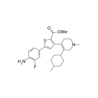 COC(=O)c1sc(-c2ccc(N)c(F)c2)cc1C1=C(C2CCC(C)CC2)CN(C)CC1